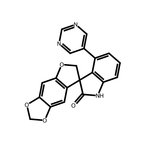 O=C1Nc2cccc(-c3cncnc3)c2C12COc1cc3c(cc12)OCO3